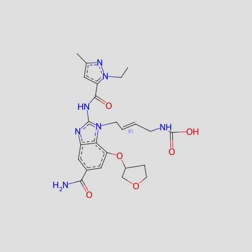 CCn1nc(C)cc1C(=O)Nc1nc2cc(C(N)=O)cc(OC3CCOC3)c2n1C/C=C/CNC(=O)O